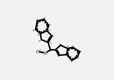 [Cl][Zr][CH](C1=Cc2ccccc2C1)C1=Cc2ccccc2C1